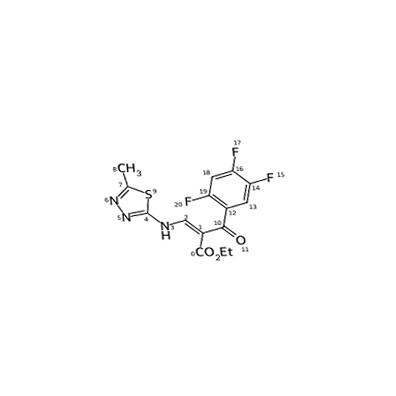 CCOC(=O)C(=CNc1nnc(C)s1)C(=O)c1cc(F)c(F)cc1F